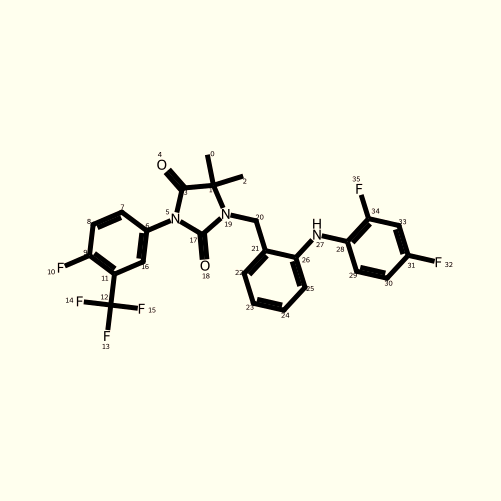 CC1(C)C(=O)N(c2ccc(F)c(C(F)(F)F)c2)C(=O)N1Cc1ccccc1Nc1ccc(F)cc1F